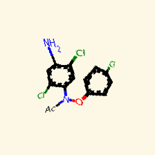 CC(=O)N(Oc1ccc(Cl)cc1)c1cc(Cl)c(N)cc1Cl